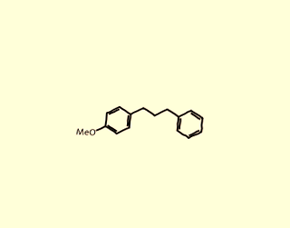 COc1ccc(CCCc2ccccc2)cc1